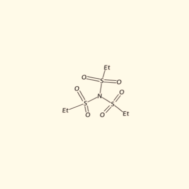 CCS(=O)(=O)N(S(=O)(=O)CC)S(=O)(=O)CC